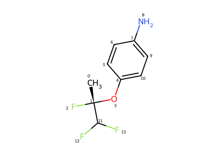 C[C@@](F)(Oc1ccc(N)cc1)C(F)F